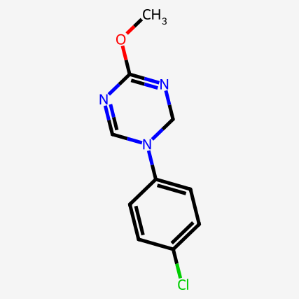 COC1=NCN(c2ccc(Cl)cc2)C=N1